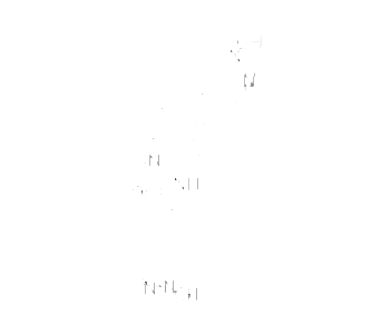 Cn1cc(-c2ccc3cnc(NC(=O)c4ccc5c(cnn5C)c4)cc3c2)cn1